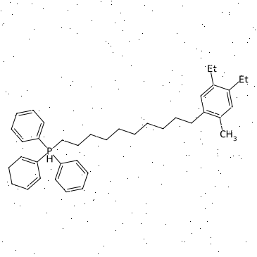 CCc1cc(C)c(CCCCCCCCCC[PH](C2=CCCC=C2)(c2ccccc2)c2ccccc2)cc1CC